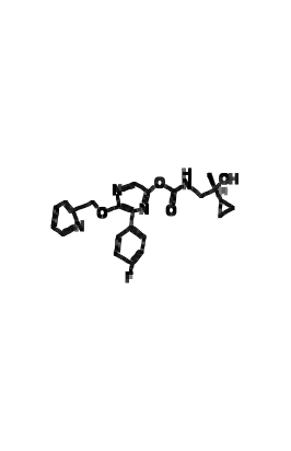 C[C@](O)(CNC(=O)Oc1cnc(OCc2ccccn2)c(-c2ccc(F)cc2)n1)C1CC1